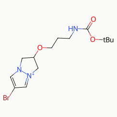 CC(C)(C)OC(=O)NCCCOC1Cn2cc(Br)c[n+]2C1